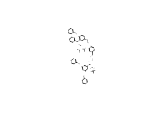 CC(C)N(CC[C@H](c1ccccc1)c1cc(CCOc2ccc(CCNC[C@@H](O[Si](C)(C)C(C)(C)C)c3cc(OCc4ccccc4)cc(OCc4ccccc4)c3)cc2)ccc1OCc1ccccc1)C(C)C